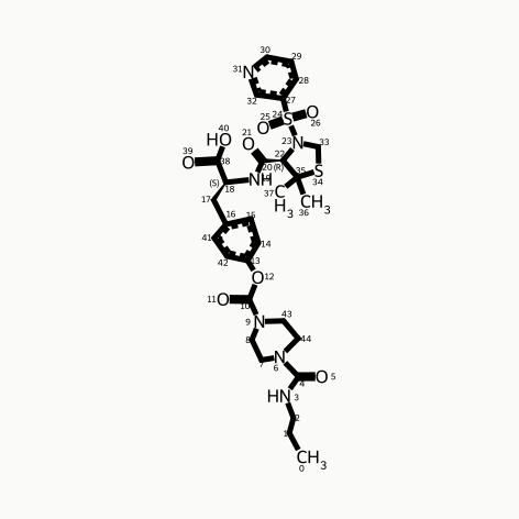 CCCNC(=O)N1CCN(C(=O)Oc2ccc(C[C@H](NC(=O)[C@H]3N(S(=O)(=O)c4cccnc4)CSC3(C)C)C(=O)O)cc2)CC1